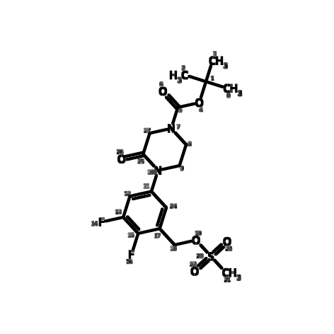 CC(C)(C)OC(=O)N1CCN(c2cc(F)c(F)c(COS(C)(=O)=O)c2)C(=O)C1